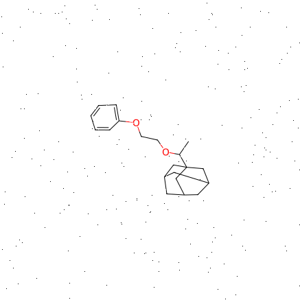 CC(OCCOc1ccccc1)C12CC3CC(CC(C3)C1)C2